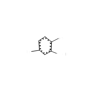 CC(C)c1ccc(C(C)C)c(S(=O)(=O)O)c1